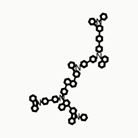 c1ccc(-n2c3ccccc3c3cc(-c4ccc(-c5ccc(N(c6ccc(-c7ccc(-n8c9ccccc9c9cc(-c%10cccc%11c(-c%12ccc(N(c%13ccc(-c%14ccc(-n%15c%16ccccc%16c%16ccccc%16%15)cc%14)cc%13)c%13ccc(-c%14ccc%15c(c%14)c%14ccccc%14n%15-c%14ccccc%14)c%14ccccc%13%14)cc%12)cccc%10%11)ccc98)cc7)cc6)c6cccc7ccccc67)cc5)cc4)ccc32)cc1